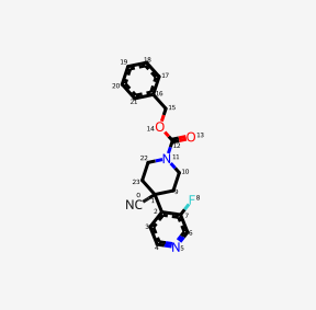 N#CC1(c2ccncc2F)CCN(C(=O)OCc2ccccc2)CC1